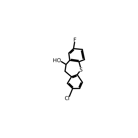 OC1Cc2cc(Cl)ccc2Sc2ccc(F)cc21